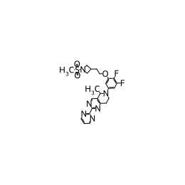 CC1c2cnc(-c3ncccn3)nc2CCN1c1cc(F)c(F)c(OCCC2CN(S(C)(=O)=O)C2)c1